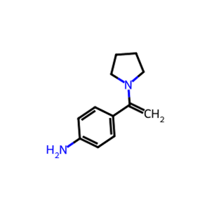 C=C(c1ccc(N)cc1)N1CCCC1